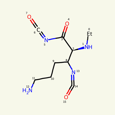 CCN[C@H](C(=O)N=C=O)C(CCCN)N=C=O